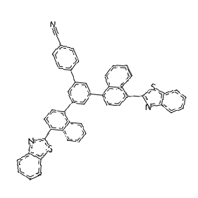 N#Cc1ccc(-c2cc(-c3ccc(-c4nc5ccccc5s4)c4ccccc34)cc(-c3ccc(-c4nc5ccccc5s4)c4ccccc34)c2)cc1